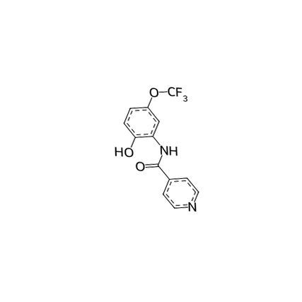 O=C(Nc1cc(OC(F)(F)F)ccc1O)c1ccncc1